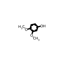 COc1[c]cc(O)cc1OC